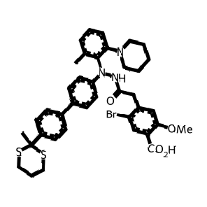 COc1cc(CC(=O)NN(c2ccc(-c3ccc(C4(C)SCCCS4)cc3)cc2)c2c(C)cccc2N2CCCCC2)c(Br)cc1C(=O)O